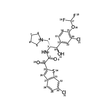 O=C(N[C@H](CN1CCCC1)[C@H](O)c1ccc(OC(F)F)c(Cl)c1)C(=O)c1cc2ccc(Cl)cc2s1